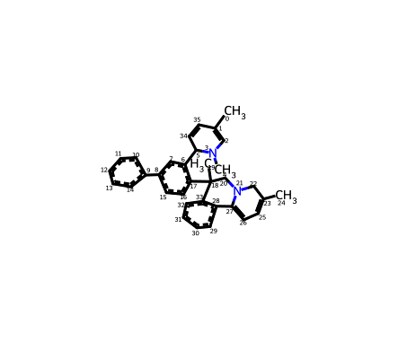 CC1=CN(C)C(c2cc(-c3ccccc3)ccc2C2(C)CN3CC(C)=CC=C3c3ccccc32)C=C1